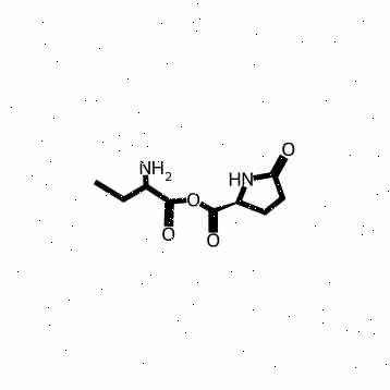 CCC(N)C(=O)OC(=O)[C@@H]1CCC(=O)N1